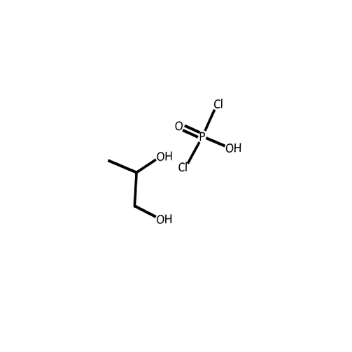 CC(O)CO.O=P(O)(Cl)Cl